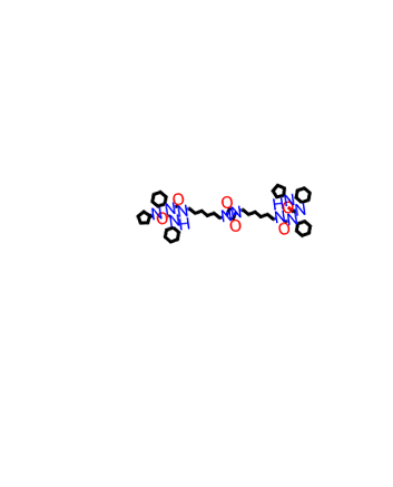 O=C1N(CCCCCCNC(=O)N(/C(=N/C2CCCCC2)ON=C2CCCC2)C2CCCCC2)C(=O)N1CCCCCCNC(=O)N(/C(=N/C1CCCCC1)ON=C1CCCC1)C1CCCCC1